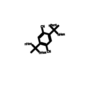 CCCCCCC(C)(CCCCC)c1cc(C#N)c(C(C)(CCCCCC)CCCCCC)cc1C#N